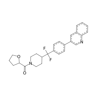 O=C(C1CCCO1)N1CCC(C(F)(F)c2ccc(-c3cnc4ccccc4c3)cc2)CC1